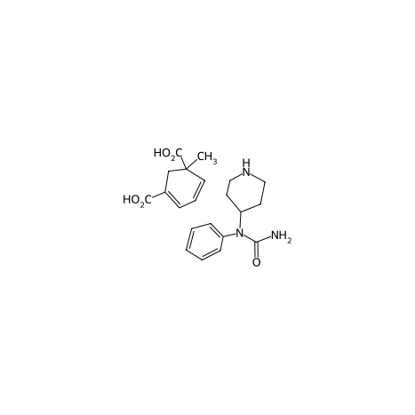 CC1(C(=O)O)C=CC=C(C(=O)O)C1.NC(=O)N(c1ccccc1)C1CCNCC1